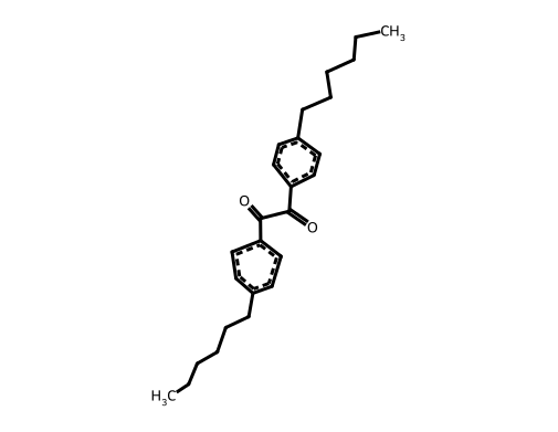 CCCCCCc1ccc(C(=O)C(=O)c2ccc(CCCCCC)cc2)cc1